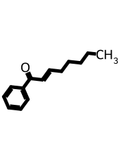 CCCCCC=CC(=O)c1ccccc1